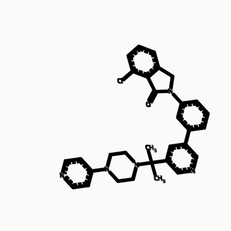 CC(C)(c1cncc(-c2cccc(N3Cc4cccc(Cl)c4C3=O)c2)c1)N1CCN(c2ccncc2)CC1